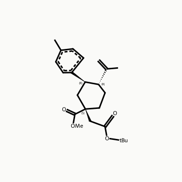 C=C(C)[C@@H]1CC[C@](CC(=O)OC(C)(C)C)(C(=O)OC)C[C@H]1c1ccc(C)cc1